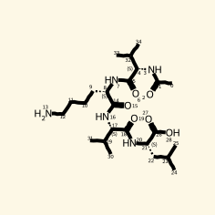 CC(=O)N[C@H](C(=O)N[C@@H](CCCCN)C(=O)N[C@H](C(=O)N[C@@H](CC(C)C)C(=O)O)C(C)C)C(C)C